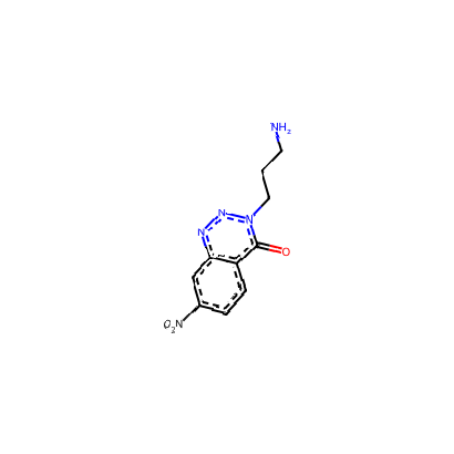 NCCCn1nnc2cc([N+](=O)[O-])ccc2c1=O